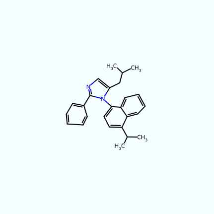 CC(C)Cc1cnc(-c2ccccc2)n1-c1ccc(C(C)C)c2ccccc12